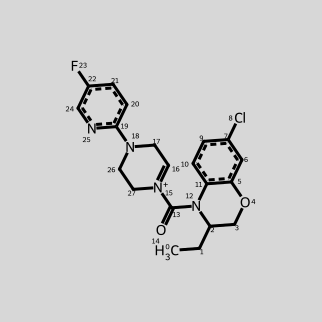 CCC1COc2cc(Cl)ccc2N1C(=O)[N+]1=CCN(c2ccc(F)cn2)CC1